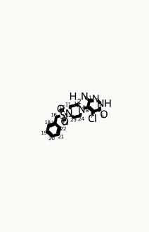 Nc1n[nH]c(=O)c(Cl)c1N1CCN(S(=O)(=O)Cc2ccccc2)CC1